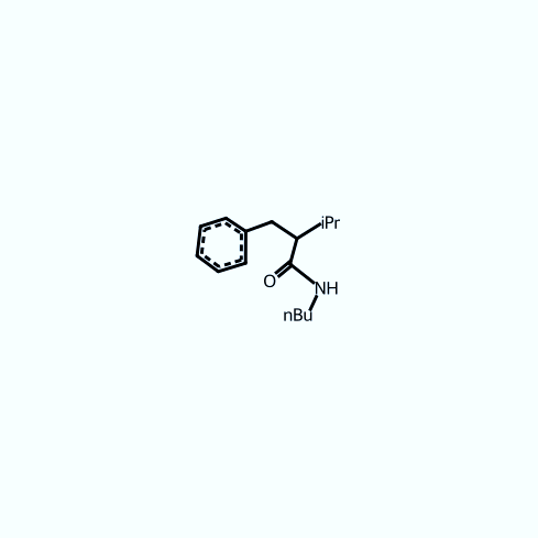 CCCCNC(=O)C(Cc1ccccc1)C(C)C